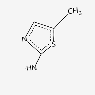 Cc1cnc([NH])s1